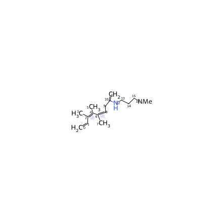 C=C/C(C)=C(C)\C(C)=C/CC(=C)NCCCNC